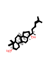 CC(C)=CCC[C@@H](C)[C@]1(O)CC[C@H]2[C@@H]3CC=C4C(C)(C)[C@@H](O)CC[C@]4(C)[C@H]3CC[C@@]21C